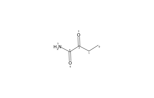 CCC(=O)C(N)=O